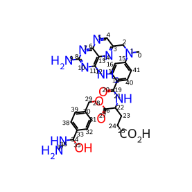 CN(Cc1cnc2nc(N)nc(N)c2n1)c1ccc(C(=O)NC(CCC(=O)O)C(=O)OCc2ccc(C(O)NN)cc2)cc1